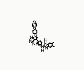 Cc1cc2nc(Nc3ccc(-c4cn([C@H]5CC[C@@H](N6CCN(C)CC6)CC5)c5ncnc(N)c45)cc3)[nH]c2cc1C